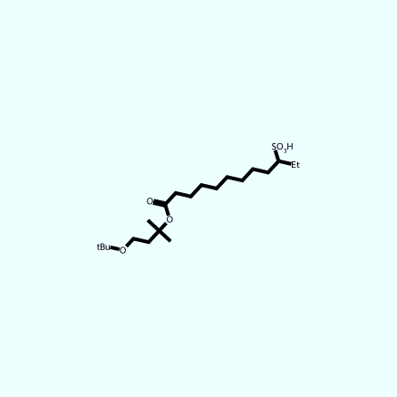 CCC(CCCCCCCCC(=O)OC(C)(C)CCOC(C)(C)C)S(=O)(=O)O